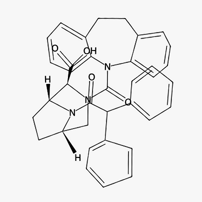 O=C(O)[C@@H]1[C@H]2CC[C@@H](CN1C(=O)N1c3ccccc3CCc3ccccc31)N2C(=O)C(c1ccccc1)c1ccccc1